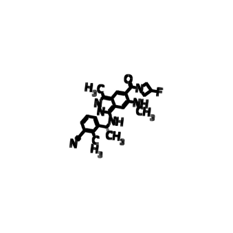 CNc1cc2c(N[C@H](C)c3cccc(C#N)c3C)nnc(C)c2cc1C(=O)N1CC(F)C1